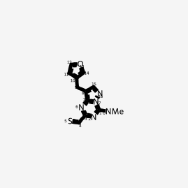 CNc1nc(C=S)nc2c(Cc3ccoc3)cnn12